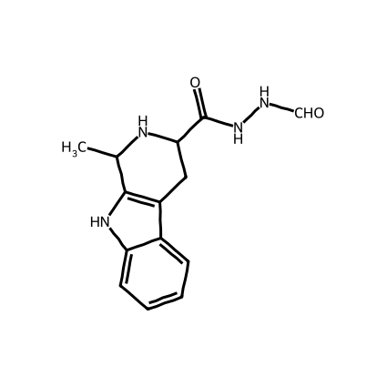 CC1NC(C(=O)NNC=O)Cc2c1[nH]c1ccccc21